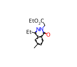 CCOC(=O)Cn1nc(CC)c2cc(C)ccc2c1=O